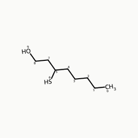 CCCCCC(S)CCO